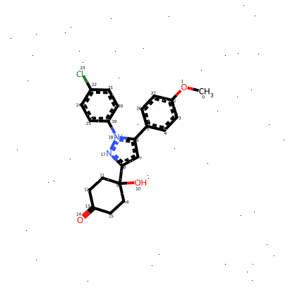 COc1ccc(-c2cc(C3(O)CCC(=O)CC3)nn2-c2ccc(Cl)cc2)cc1